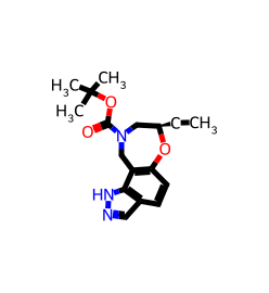 CC[C@@H]1CN(C(=O)OC(C)(C)C)Cc2c(ccc3cn[nH]c23)O1